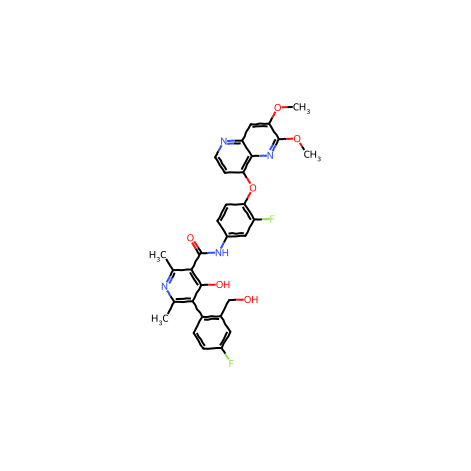 COc1cc2nccc(Oc3ccc(NC(=O)c4c(C)nc(C)c(-c5ccc(F)cc5CO)c4O)cc3F)c2nc1OC